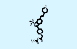 CS(=O)(=O)n1nc(C2CCN(CC(=O)OC(=O)C(F)(F)F)CC2)c2ccc(C=CC3CCNCC3)cc21